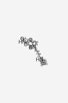 O=C1CCC(C2CC(=O)c3c(NCCCCCCCNC45CC6CC7CC(C4)C765)cccc3C2=O)C(=O)N1